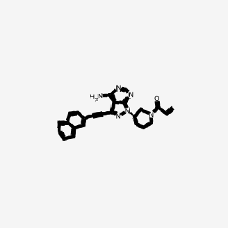 C=CC(=O)N1CCC[C@@H](n2nc(C#Cc3ccc4ccccc4c3)c3c(N)ncnc32)C1